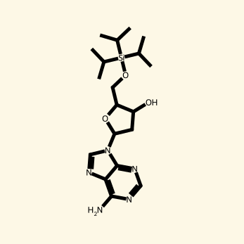 CC(C)[Si](OCC1OC(n2cnc3c(N)ncnc32)CC1O)(C(C)C)C(C)C